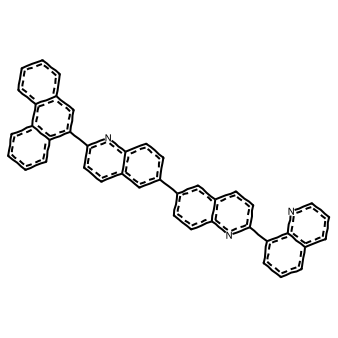 c1cnc2c(-c3ccc4cc(-c5ccc6nc(-c7cc8ccccc8c8ccccc78)ccc6c5)ccc4n3)cccc2c1